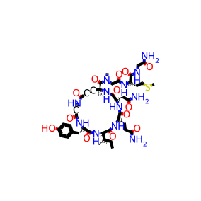 CC[C@H](C)[C@@H]1NC(=O)[C@H](Cc2ccc(O)cc2)NC(=O)CNC(=O)CC[C@@H](C(=O)N(C)CC(=O)N[C@@H](CCSC)C(=O)NCC(N)=O)NC(=O)[C@H](CC(N)=O)NC(=O)[C@H](CCC(N)=O)NC1=O